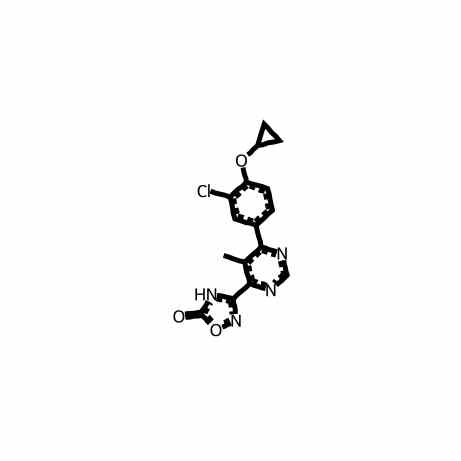 Cc1c(-c2ccc(OC3CC3)c(Cl)c2)ncnc1-c1noc(=O)[nH]1